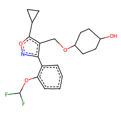 OC1CCC(OCc2c(-c3ccccc3OC(F)F)noc2C2CC2)CC1